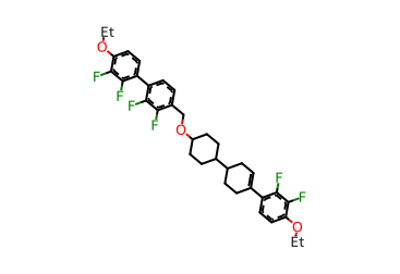 CCOc1ccc(C2=CCC(C3CCC(OCc4ccc(-c5ccc(OCC)c(F)c5F)c(F)c4F)CC3)CC2)c(F)c1F